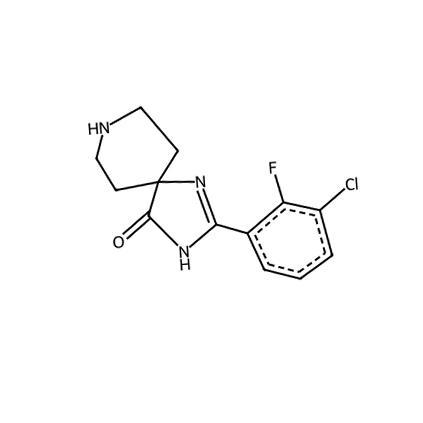 O=C1NC(c2cccc(Cl)c2F)=NC12CCNCC2